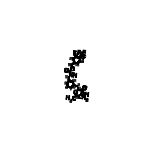 CC(C)O[C@@H](Cc1cccc(CNC(=O)OCc2ccc(C(F)(F)F)c(F)c2)c1)C(=O)O